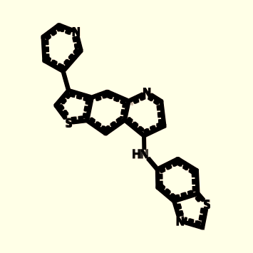 c1cncc(-c2csc3cc4c(Nc5ccc6scnc6c5)ccnc4cc23)c1